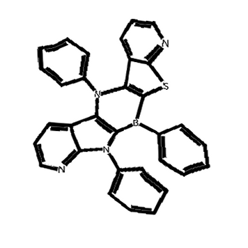 c1ccc(B2c3sc4ncccc4c3N(c3ccccc3)c3c2n(-c2ccccc2)c2ncccc32)cc1